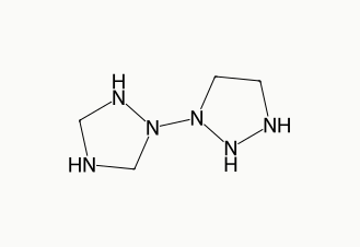 C1CN(N2CNCN2)NN1